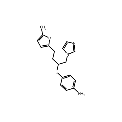 Cc1ccc(CCC(Cn2ccnc2)Sc2ccc(N)cc2)o1